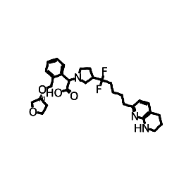 O=C(O)C(c1ccccc1CO[C@@H]1CCOC1)N1CCC(C(F)(F)CCCCc2ccc3c(n2)NCCC3)C1